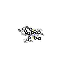 CC(C)(C)c1ccc(Nc2cc3c(cc2-c2c4c5c(c6cc7c(cc6n5-c5c(sc6ccc(-c8ccccc8)cc56)B4)C(C)(C)CCC7(C)C)c4sc5ccccc5c24)-c2cc4c(cc2C3(C)C)C(C)(C)CCC4(C)C)cc1